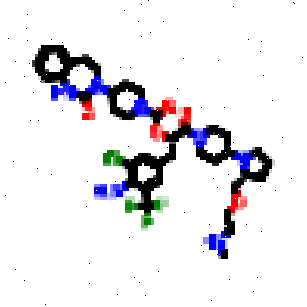 CNCCOC[C@@H]1CCCN1C1CCN(C(=O)[C@@H](Cc2cc(Cl)c(N)c(C(F)(F)F)c2)OC(=O)N2CCC(N3CCc4ccccc4NC3=O)CC2)CC1